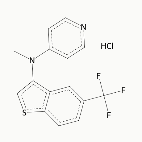 CN(c1ccncc1)c1csc2ccc(C(F)(F)F)cc12.Cl